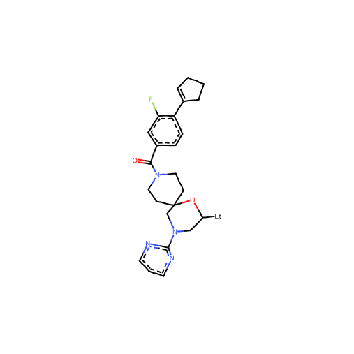 CCC1CN(c2ncccn2)CC2(CCN(C(=O)c3ccc(C4=CCCC4)c(F)c3)CC2)O1